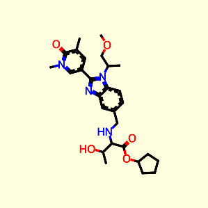 COCC(C)n1c(-c2cc(C)c(=O)n(C)c2)nc2cc(CNC(C(=O)OC3CCCC3)C(C)O)ccc21